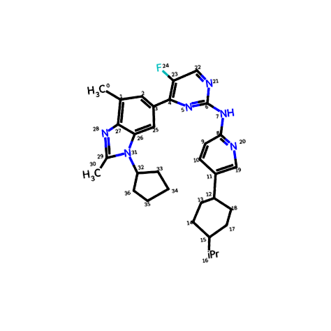 Cc1cc(-c2nc(Nc3ccc(C4CCC(C(C)C)CC4)cn3)ncc2F)cc2c1nc(C)n2C1CCCC1